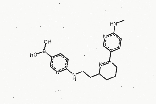 CNc1ccc(C2=NC(CCNc3ccc(B(O)O)cn3)CCC2)cn1